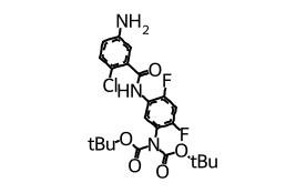 CC(C)(C)OC(=O)N(C(=O)OC(C)(C)C)c1cc(NC(=O)c2cc(N)ccc2Cl)c(F)cc1F